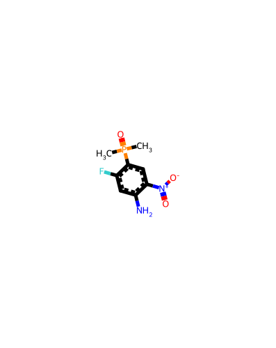 CP(C)(=O)c1cc([N+](=O)[O-])c(N)cc1F